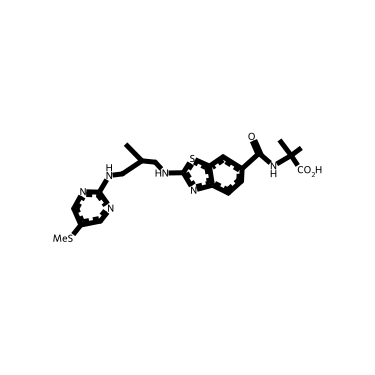 CSc1cnc(NCC(C)CNc2nc3ccc(C(=O)NC(C)(C)C(=O)O)cc3s2)nc1